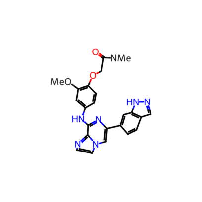 CNC(=O)COc1ccc(Nc2nc(-c3ccc4cn[nH]c4c3)cn3ccnc23)cc1OC